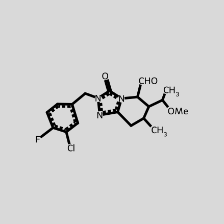 COC(C)C1C(C)Cc2nn(Cc3ccc(F)c(Cl)c3)c(=O)n2C1C=O